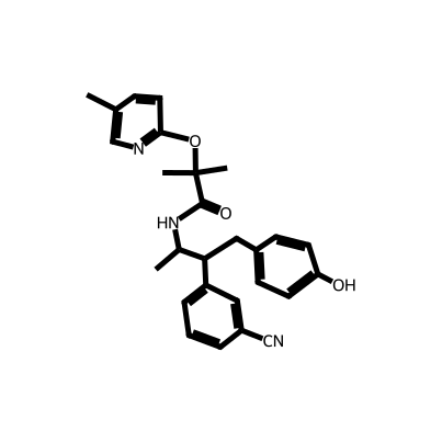 Cc1ccc(OC(C)(C)C(=O)NC(C)C(Cc2ccc(O)cc2)c2cccc(C#N)c2)nc1